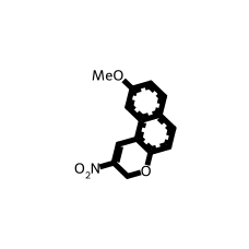 COc1ccc2ccc3c(c2c1)C=C([N+](=O)[O-])CO3